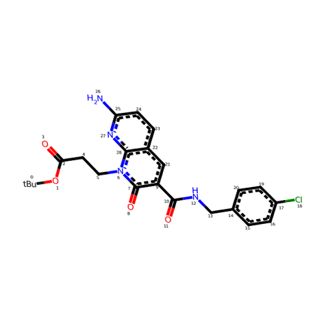 CC(C)(C)OC(=O)CCn1c(=O)c(C(=O)NCc2ccc(Cl)cc2)cc2ccc(N)nc21